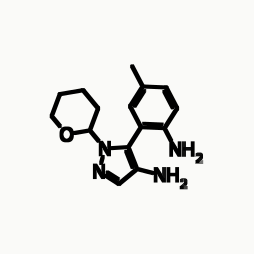 Cc1ccc(N)c(-c2c(N)cnn2C2CCCCO2)c1